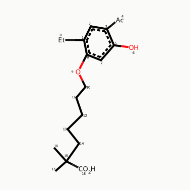 CCc1cc(C(C)=O)c(O)cc1OCCCCCC(C)(C)C(=O)O